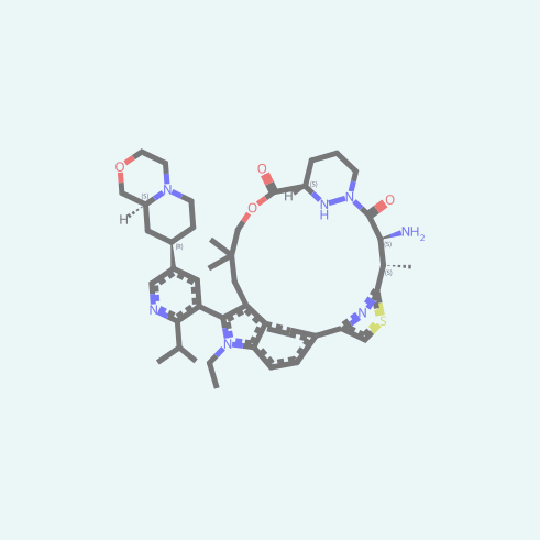 CCn1c(-c2cc([C@@H]3CCN4CCOC[C@@H]4C3)cnc2C(C)C)c2c3cc(ccc31)-c1csc(n1)[C@@H](C)[C@H](N)C(=O)N1CCC[C@H](N1)C(=O)OCC(C)(C)C2